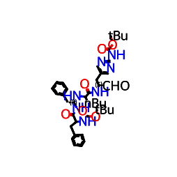 CCCCC(N[C@@H](Cc1ccccc1)NC(=O)C(Cc1ccccc1)NC(=O)OC(C)(C)C)C(=O)N[C@H](C=O)Cc1cnc(NC(=O)OC(C)(C)C)nc1